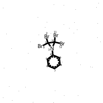 BrC1(Br)N(c2ccccc2)C1(Br)Br